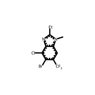 CCc1nc2c(Cl)c(Br)c(C(F)(F)F)cc2n1C